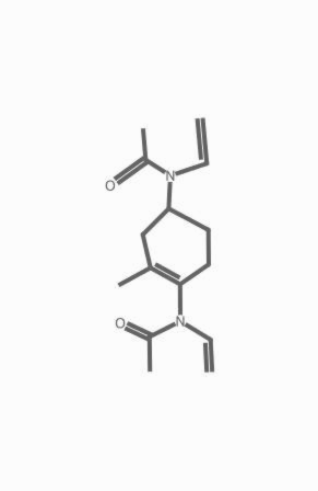 C=CN(C(C)=O)C1=C(C)CC(N(C=C)C(C)=O)CC1